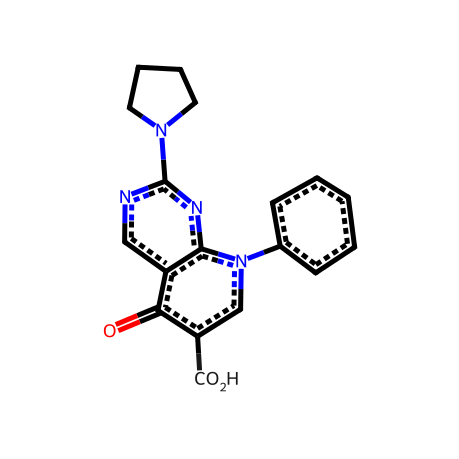 O=C(O)c1cn(-c2ccccc2)c2nc(N3CCCC3)ncc2c1=O